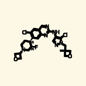 CC1(Cn2ncc(Nc3ncc4cc(Cl)c([C@H]5CCN(C6COC6)C[C@@H]5F)cc4n3)c2Cl)COC1